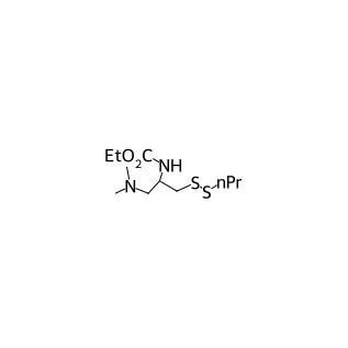 CCCSSCC(CN(C)C)NC(=O)OCC